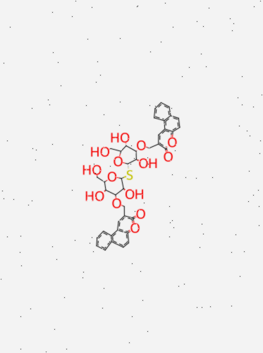 O=c1oc2ccc3ccccc3c2cc1COC1[C@@H](O)C(CO)O[C@@H](S[C@@H]2OC(CO)[C@H](O)C(OCc3cc4c(ccc5ccccc54)oc3=O)[C@@H]2O)[C@@H]1O